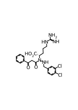 N=C(N)NCCC[C@@H](C(=O)O)N(NCc1ccc(Cl)c(Cl)c1)C(=O)CC(=O)c1ccccc1